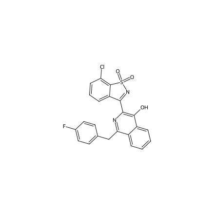 O=S1(=O)N=C(c2nc(Cc3ccc(F)cc3)c3ccccc3c2O)c2cccc(Cl)c21